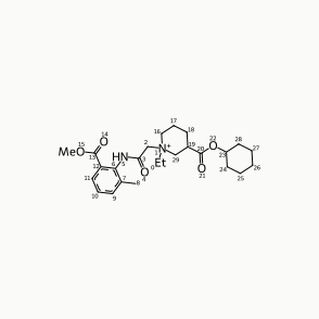 CC[N+]1(CC(=O)Nc2c(C)cccc2C(=O)OC)CCCC(C(=O)OC2CCCCC2)C1